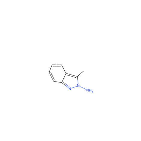 Cc1c2ccccc2nn1N